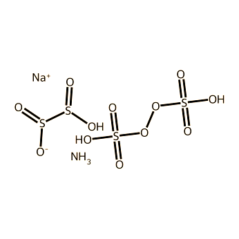 N.O=S(=O)(O)OOS(=O)(=O)O.O=S([O-])S(=O)O.[Na+]